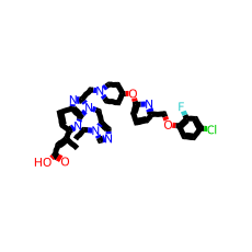 CCn1cncc1Cn1c(CN2CCC(Oc3cccc(COc4ccc(Cl)cc4F)n3)CC2)nc2ccc(/C(C)=C/C(=O)O)nc21